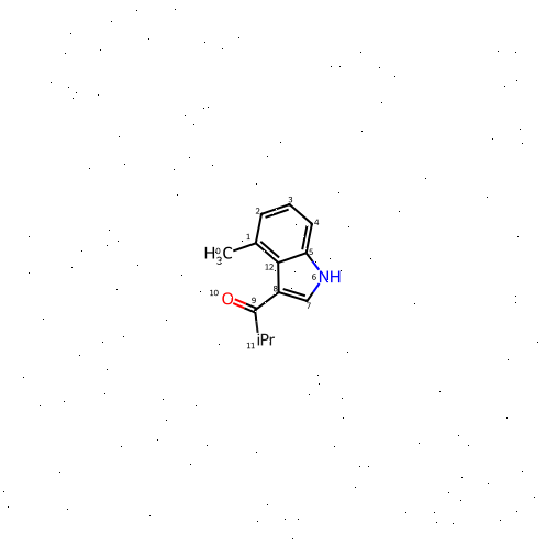 Cc1cccc2[nH]cc(C(=O)C(C)C)c12